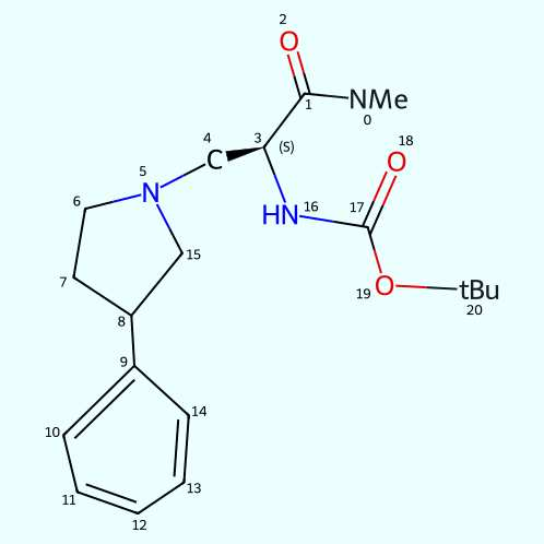 CNC(=O)[C@H](CN1CCC(c2ccccc2)C1)NC(=O)OC(C)(C)C